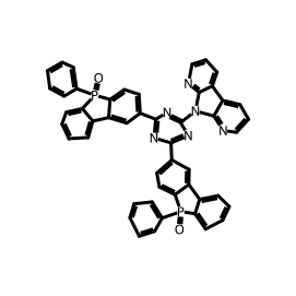 O=P1(c2ccccc2)c2ccccc2-c2cc(-c3nc(-c4ccc5c(c4)-c4ccccc4P5(=O)c4ccccc4)nc(-n4c5ncccc5c5cccnc54)n3)ccc21